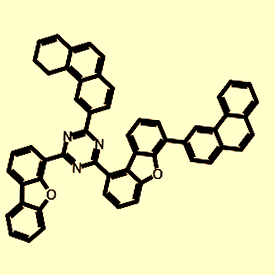 C1=Cc2ccc3ccc(-c4nc(-c5cccc6c5oc5ccccc56)nc(-c5cccc6oc7c(-c8ccc9ccc%10ccccc%10c9c8)cccc7c56)n4)cc3c2CC1